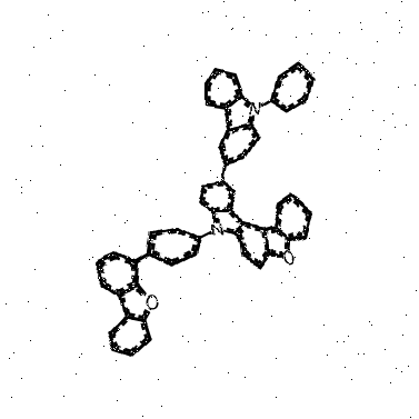 c1ccc(-n2c3ccccc3c3cc(-c4ccc5c(c4)c4c6c(ccc4n5-c4ccc(-c5cccc7c5oc5ccccc57)cc4)oc4ccccc46)ccc32)cc1